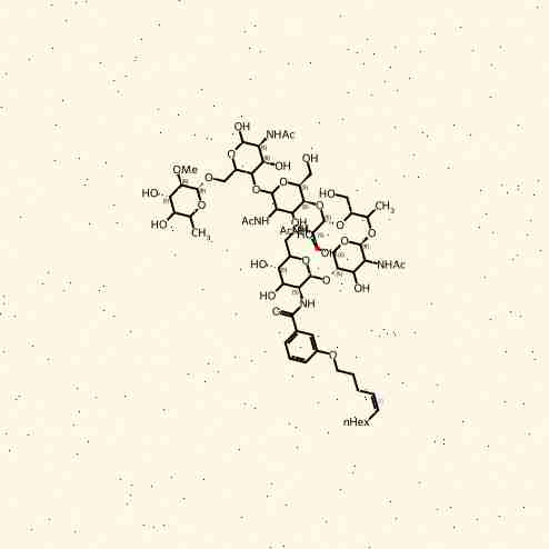 CCCCCC/C=C\CCCOc1cccc(C(=O)N[C@@H]2C(O[C@H]3C(O)C(NC(C)=O)[C@H](OC(C)C(CO)O[C@@H](O[C@H]4C(O)C(NC(C)=O)C(OC5C(CO[C@@H]6OC(C)C(O)[C@H](O)[C@H]6OC)OC(O)[C@@H](NC(C)=O)[C@H]5O)O[C@H]4CO)[C@H](CO)NC(C)=O)O[C@H]3CO)OC(CO)[C@@H](O)C2O)c1